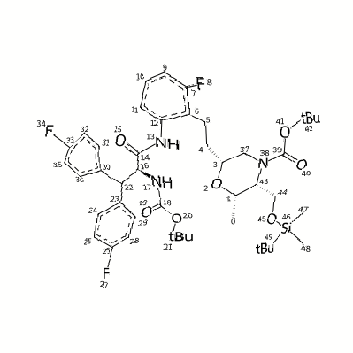 C[C@@H]1O[C@H](CCc2c(F)cccc2NC(=O)[C@@H](NC(=O)OC(C)(C)C)C(c2ccc(F)cc2)c2ccc(F)cc2)CN(C(=O)OC(C)(C)C)[C@@H]1CO[Si](C)(C)C(C)(C)C